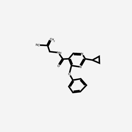 C=C(C#N)CNC(=O)c1cnc(C2CC2)nc1Oc1ccccc1